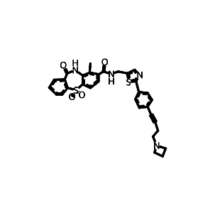 Cc1c(C(=O)NCc2cnc(-c3ccc(C#CCCN4CCC4)cc3)s2)ccc2c1NC(=O)c1ccccc1S2(=O)=O